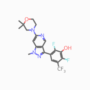 Cn1nc(-c2cc(C(F)(F)F)c(F)c(O)c2F)c2cnc(N3CCOC(C)(C)C3)cc21